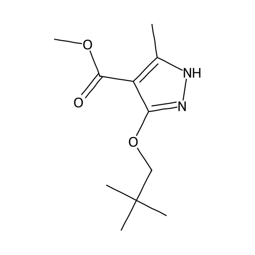 COC(=O)c1c(OCC(C)(C)C)n[nH]c1C